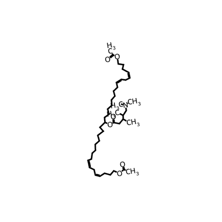 CC(=O)OCCC/C=C\C/C=C\CCCCCCCCC(CCCCCCCC/C=C\C/C=C\CCCOC(C)=O)OC(=O)CC(C)C(C)CN(C)C